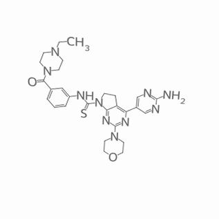 CCN1CCN(C(=O)c2cccc(NC(=S)N3CCc4c(-c5cnc(N)nc5)nc(N5CCOCC5)nc43)c2)CC1